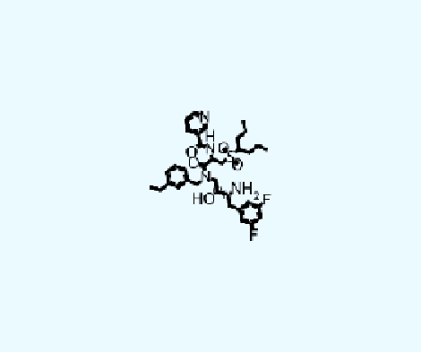 CCCC(CCC)S(=O)(=O)CC(NC(=O)c1cccnc1)C(=O)N(Cc1cccc(CC)c1)C[C@@H](O)[C@@H](N)Cc1cc(F)cc(F)c1